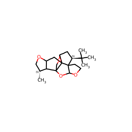 C[C@@H]1COC2CC34C5C[C@@H](C(C)(C)C)C36CCOC6OC4(CO5)C21